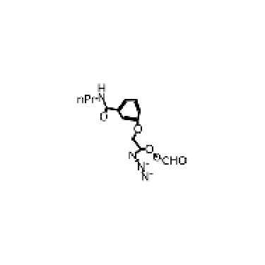 CCCNC(=O)c1cccc(OCC(N=[N+]=[N-])OOC=O)c1